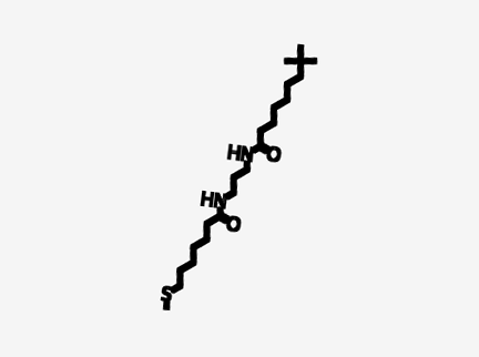 CSCCCCCCC(=O)NCCCNC(=O)CCCCCCC(C)(C)C